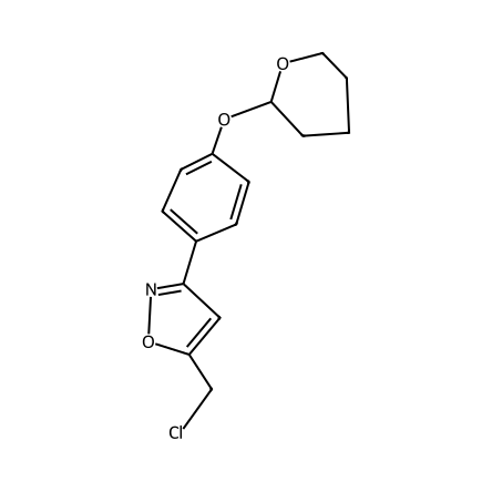 ClCc1cc(-c2ccc(OC3CCCCO3)cc2)no1